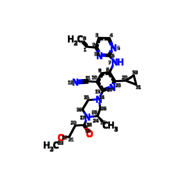 C=Cc1ccnc(Nc2cc(C#N)c(N3CCN(C(=O)CCOC)[C@H](C)C3)nc2C2CC2)n1